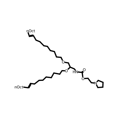 CCCCCCCCC=CCCCCCCCCOCC(CNC(=O)OCCN1CCCC1)OCCCCCCCCC=CCCCCCCCC